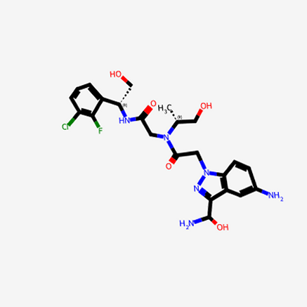 C[C@H](CO)N(CC(=O)N[C@@H](CO)c1cccc(Cl)c1F)C(=O)Cn1nc(C(N)O)c2cc(N)ccc21